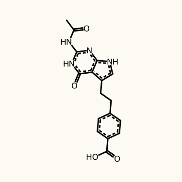 CC(=O)Nc1nc2[nH]cc(CCc3ccc(C(=O)O)cc3)c2c(=O)[nH]1